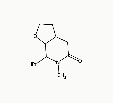 CC(C)C1C2OCCC2CC(=O)N1C